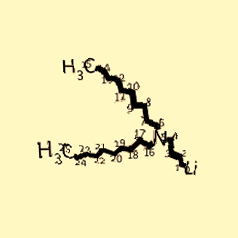 [Li][CH2]C=CCN(CCCCCCCCCC)CCCCCCCCCC